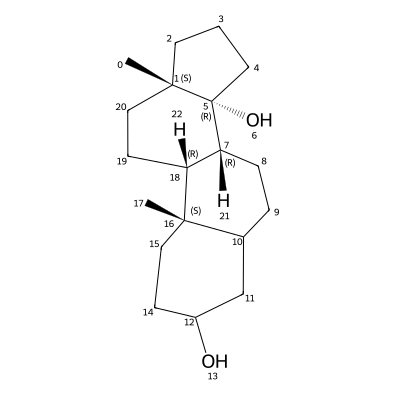 C[C@@]12CCC[C@@]1(O)[C@@H]1CCC3CC(O)CC[C@]3(C)[C@@H]1CC2